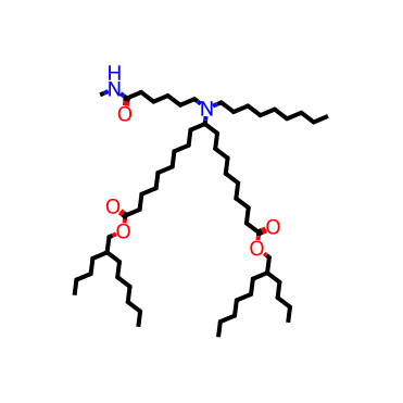 CCCCCCCCCN(CCCCCC(=O)NC)C(CCCCCCCCC(=O)OCC(CCCC)CCCCCC)CCCCCCCCC(=O)OCC(CCCC)CCCCCC